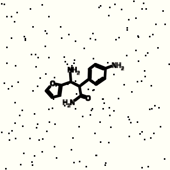 NC(=O)C(c1ccc(N)cc1)C(N)c1ccco1